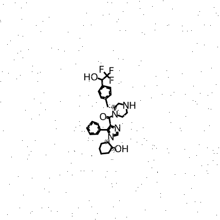 O=C(c1ncn([C@H]2CCCC[C@@H]2O)c1-c1ccccc1)N1CCNC[C@H]1Cc1ccc(C(O)C(F)(F)F)cc1